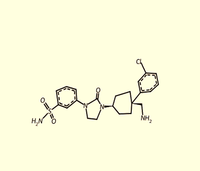 NC[C@]1(c2cccc(Cl)c2)CC[C@H](N2CCN(c3cccc(S(N)(=O)=O)c3)C2=O)CC1